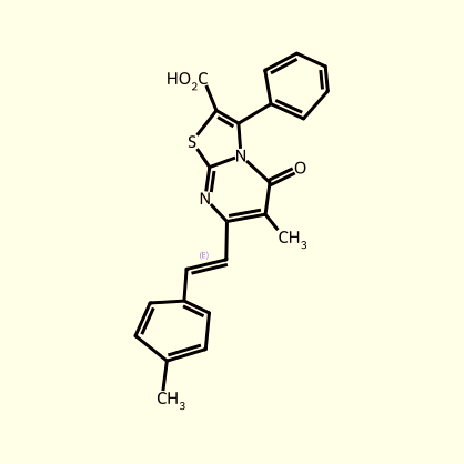 Cc1ccc(/C=C/c2nc3sc(C(=O)O)c(-c4ccccc4)n3c(=O)c2C)cc1